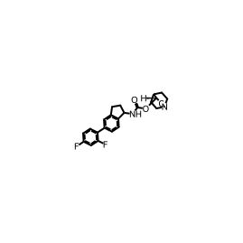 O=C(NC1CCc2cc(-c3ccc(F)cc3F)ccc21)O[C@H]1CN2CCC1CC2